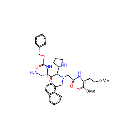 COC(=O)[C@H](CCSC)NC(=O)CN(Cc1cccc2ccccc12)C(C(=O)[C@H](CN)NC(=O)OCc1ccccc1)C1CCCN1